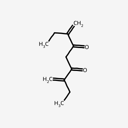 C=C(CC)C(=O)CC(=O)C(=C)CC